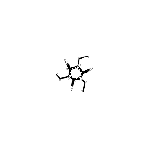 C[CH]n1c(=O)n([CH]C)c(=O)n([CH]C)c1=O